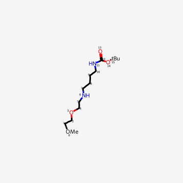 COCCOCCNCCCCNC(=O)OC(C)(C)C